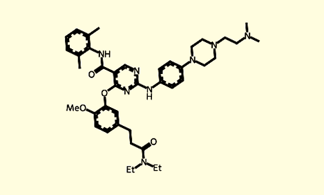 CCN(CC)C(=O)CCc1ccc(OC)c(Oc2nc(Nc3ccc(N4CCN(CCN(C)C)CC4)cc3)ncc2C(=O)Nc2c(C)cccc2C)c1